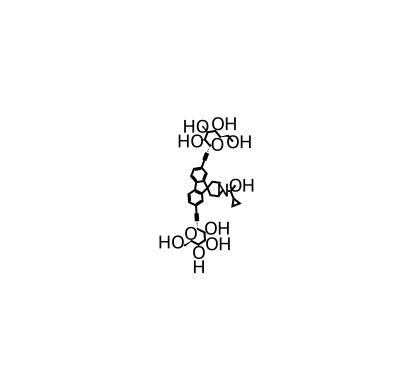 OC[C@H]1O[C@H](C#Cc2ccc3c(c2)C2(CCN(C(O)C4CC4)CC2)c2cc(C#C[C@H]4O[C@H](CO)[C@@H](O)[C@H](O)[C@@H]4O)ccc2-3)[C@@H](O)[C@@H](O)[C@@H]1O